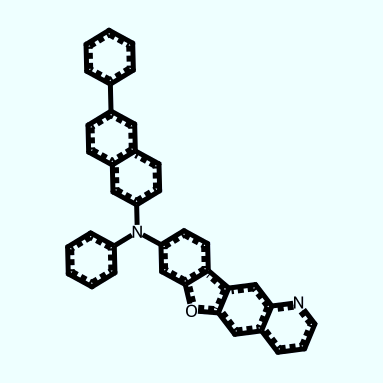 c1ccc(-c2ccc3cc(N(c4ccccc4)c4ccc5c(c4)oc4cc6cccnc6cc45)ccc3c2)cc1